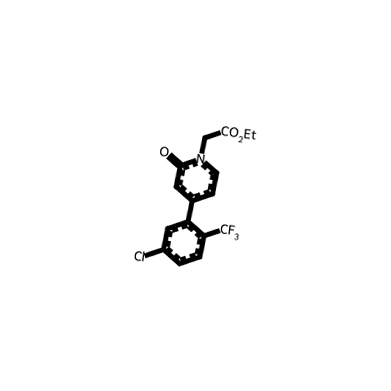 CCOC(=O)Cn1ccc(-c2cc(Cl)ccc2C(F)(F)F)cc1=O